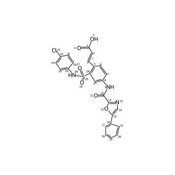 O=C(O)/C=C/c1ccc(NC(=O)c2ncc(-c3ccccc3)o2)cc1S(=O)(=O)Nc1ccc(Cl)cc1